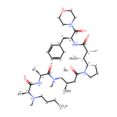 CC[C@H](C)[C@@H]([C@@H](CC(=O)N1CCC[C@H]1[C@H](OC)[C@@H](C)C(=O)N[C@@H](CC1C=CC=CC1)C(=O)N1CCOCC1)OC)N(C)C(=O)[C@@H](NC(=O)[C@H](C(C)C)N(C)CCCC(=O)O)C(C)C